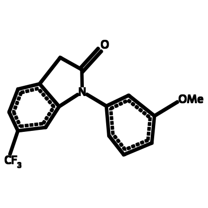 COc1cccc(N2C(=O)Cc3ccc(C(F)(F)F)cc32)c1